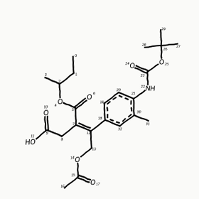 CCC(C)OC(=O)C(CC(=O)O)=C(COC(C)=O)c1ccc(NC(=O)OC(C)(C)C)c(C)c1